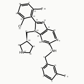 Fc1cccc(CNc2ncc3nc(-c4c(F)cccc4Cl)n(C[C@H]4CCNC4)c3n2)c1